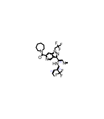 C=N/C=C(\N/C=C(\C=C/C)C(F)(F)F)c1nn(CC(F)(F)F)c2cc(C(=O)N3CCCCCC3)ncc12